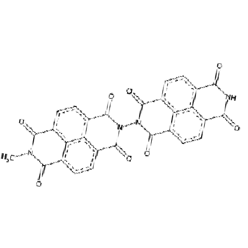 CN1C(=O)c2ccc3c4c(ccc(c24)C1=O)C(=O)N(N1C(=O)c2ccc4c5c(ccc(c25)C1=O)C(=O)NC4=O)C3=O